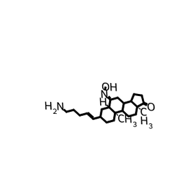 C[C@]12CCC3C(C/C(=N\O)[C@H]4CC(C=CCCCN)CC[C@]34C)C1CCC2=O